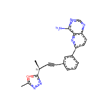 Cc1nnc([C@@H](C)C#Cc2cccc(-c3ccc4ncnc(N)c4n3)c2)o1